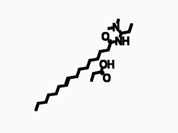 CCC(=O)O.CCCCCCC=CCCCCCCCC(=O)NC(CC)N(C)C